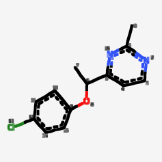 Cc1nccc(C(C)Oc2ccc(Cl)cc2)n1